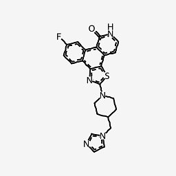 O=c1[nH]ccc2c3sc(N4CCC(Cn5ccnc5)CC4)nc3c3ccc(F)cc3c12